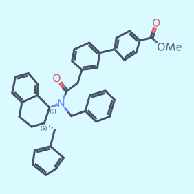 COC(=O)c1ccc(-c2cccc(CC(=O)N(Cc3ccccc3)[C@@H]3c4ccccc4CC[C@H]3Cc3ccccc3)c2)cc1